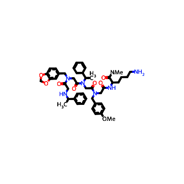 CNC(=O)C(CCCCN)NC(=O)CN(Cc1ccc(OC)cc1)C(=O)CN(C(=O)CN(Cc1ccc2c(c1)OCO2)C(=O)CNC(C)c1ccccc1)C(C)C1C=CC=CC1